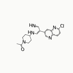 CC(=O)N1CCC(N/C=C(\C=N)c2cnc3ccc(Cl)nc3c2)CC1